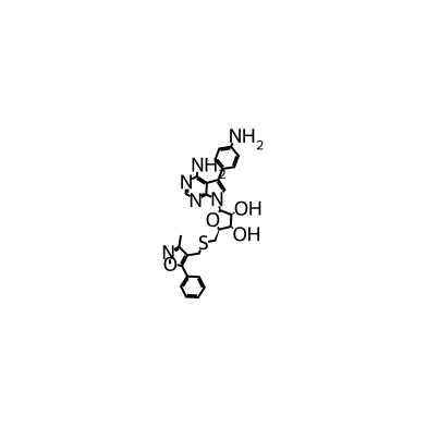 Cc1noc(-c2ccccc2)c1CSC[C@H]1O[C@@H](n2cc(-c3ccc(N)cc3)c3c(N)ncnc32)[C@H](O)[C@@H]1O